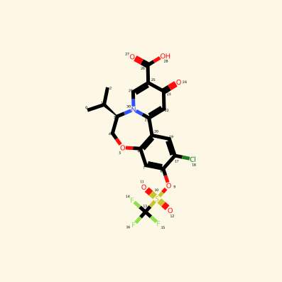 CC(C)[C@@H]1COc2cc(OS(=O)(=O)C(F)(F)F)c(Cl)cc2-c2cc(=O)c(C(=O)O)cn21